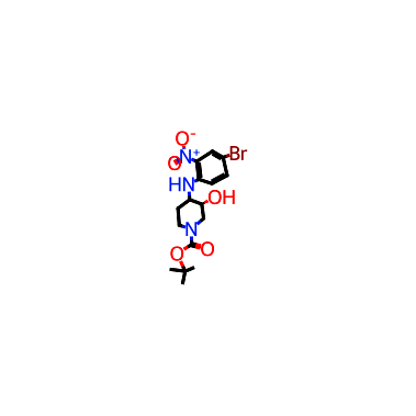 CC(C)(C)OC(=O)N1CCC(Nc2ccc(Br)cc2[N+](=O)[O-])[C@@H](O)C1